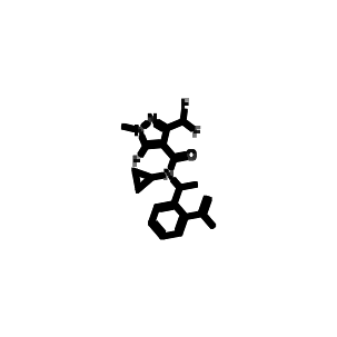 C=C(C)c1ccccc1C(C)N(C(=O)c1c(C(F)F)nn(C)c1F)C1CC1